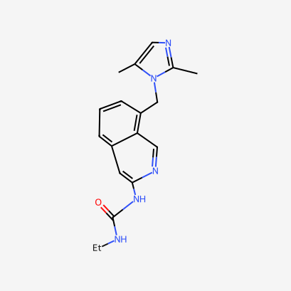 CCNC(=O)Nc1cc2cccc(Cn3c(C)cnc3C)c2cn1